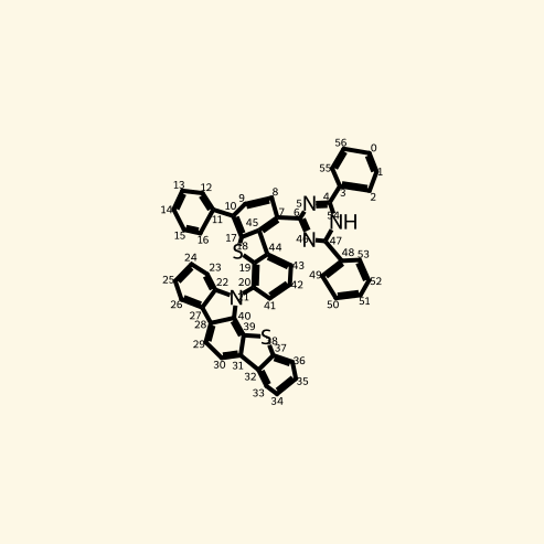 c1ccc(C2=NC(c3ccc(-c4ccccc4)c4sc5c(-n6c7ccccc7c7ccc8c9ccccc9sc8c76)cccc5c34)=NC(c3ccccc3)N2)cc1